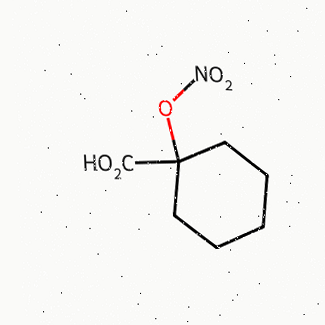 O=C(O)C1(O[N+](=O)[O-])CCCCC1